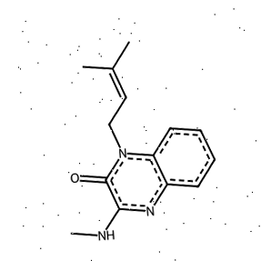 CNc1nc2ccccc2n(CC=C(C)C)c1=O